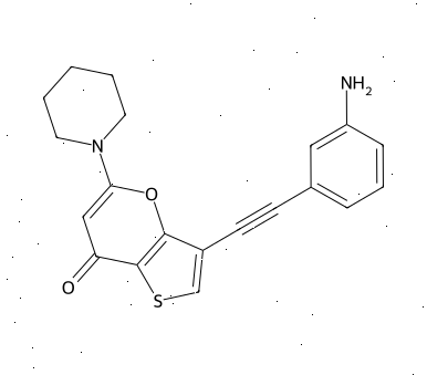 Nc1cccc(C#Cc2csc3c(=O)cc(N4CCCCC4)oc23)c1